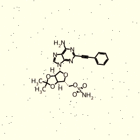 CC1(C)O[C@@H]2[C@H](O1)[C@@H](COS(N)(=O)=O)O[C@H]2n1cnc2c(N)nc(C#Cc3ccccc3)nc21